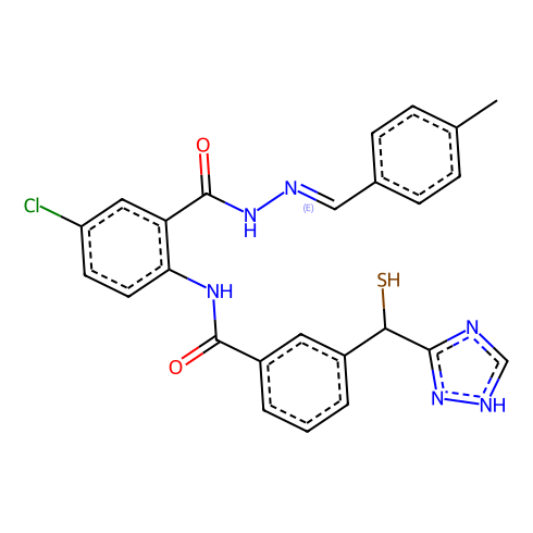 Cc1ccc(/C=N/NC(=O)c2cc(Cl)ccc2NC(=O)c2cccc(C(S)c3nc[nH]n3)c2)cc1